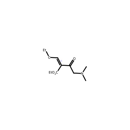 CCO/C=C(/C(=O)CN(C)C)C(=O)OCC